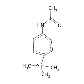 CC(=O)Nc1cc[c]([Sn]([CH3])([CH3])[CH3])cc1